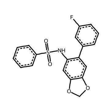 O=S(=O)(Nc1cc2c(cc1-c1cccc(F)c1)OCO2)c1ccccc1